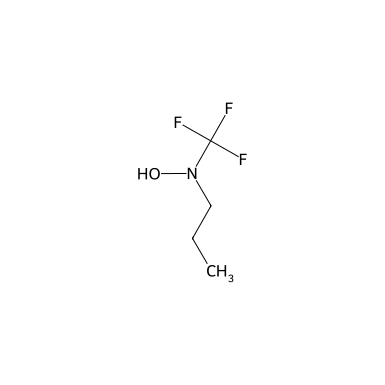 CCCN(O)C(F)(F)F